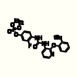 CCOP(=O)(OCC)Oc1ccc(NC(=O)Nc2cccnc2Oc2ccccc2C(C)(C)C)c(F)c1